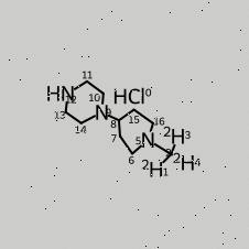 Cl.[2H]C([2H])([2H])N1CCC(N2CCNCC2)CC1